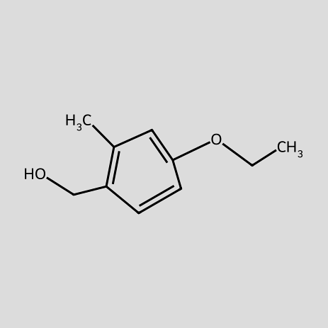 CCOc1ccc(CO)c(C)c1